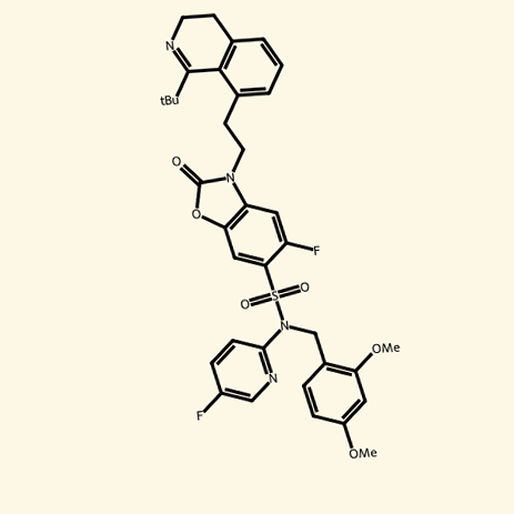 COc1ccc(CN(c2ccc(F)cn2)S(=O)(=O)c2cc3oc(=O)n(CCc4cccc5c4C(C(C)(C)C)=NCC5)c3cc2F)c(OC)c1